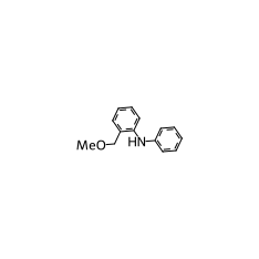 COCc1ccccc1Nc1ccccc1